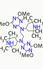 COc1nc(OC)nc(N(CCN(c2nc(OC)nc(OC)n2)C2CC(C)(C)NC(C)(C)C2)C2CC(C)(C)NC(C)(C)C2)n1